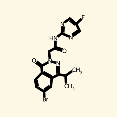 CC(C)c1nn(CC(=O)Nc2ncc(F)cn2)c(=O)c2ccc(Br)cc12